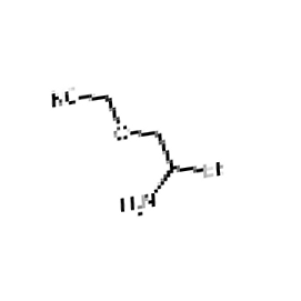 CCC(N)COCC#N